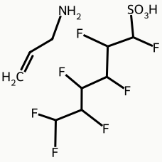 C=CCN.O=S(=O)(O)C(F)C(F)C(F)C(F)C(F)C(F)F